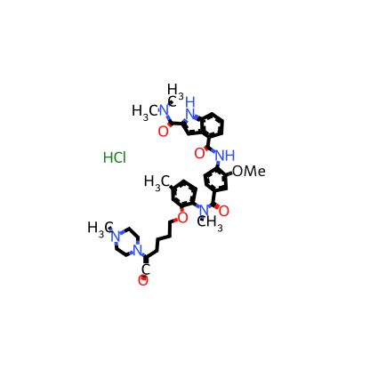 COc1cc(C(=O)N(C)c2ccc(C)cc2OCCCCC(=C=O)N2CCN(C)CC2)ccc1NC(=O)c1cccc2[nH]c(C(=O)N(C)C)cc12.Cl